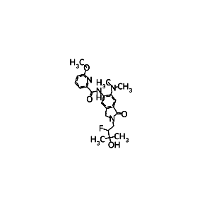 COc1cccc(C(=O)Nc2cc3c(cc2N(C)C)C(=O)N(CC(F)C(C)(C)O)C3)n1